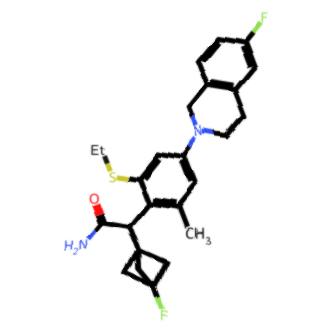 CCSc1cc(N2CCc3cc(F)ccc3C2)cc(C)c1C(C(N)=O)C12CC(F)(C1)C2